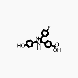 O=C(O)c1ccc(-c2[nH]c(-c3ccc(O)cc3)nc2-c2ccc(F)cc2)cc1